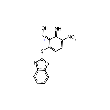 N=C1C([N+](=O)[O-])=CC=C(Sc2nc3ccccc3s2)/C1=N/O